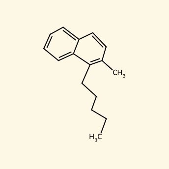 CCCCCc1c(C)ccc2ccccc12